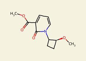 COC(=O)c1cccn(C2CC[C@@H]2OC)c1=O